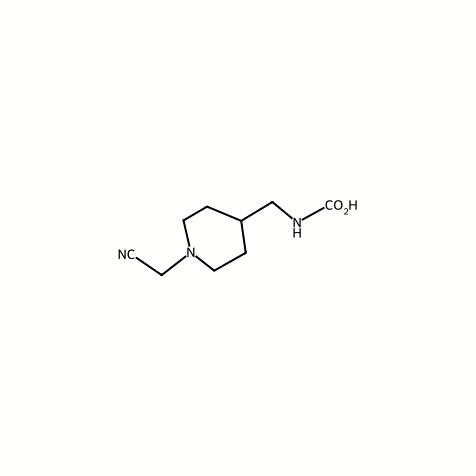 N#CCN1CCC(CNC(=O)O)CC1